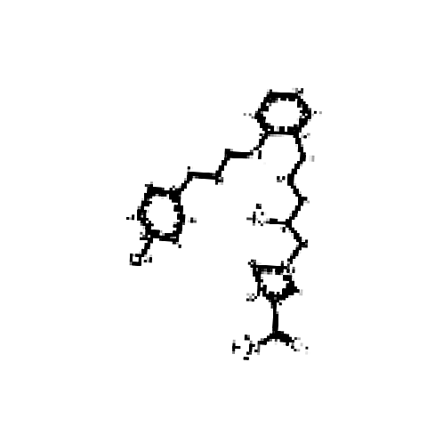 NC(=O)c1cn(C[C@@H](O)CCCc2ccccc2OCCCc2ccc(Cl)cc2)cn1